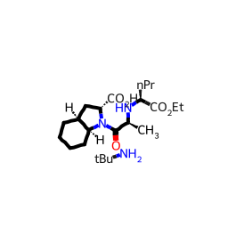 CC(C)(C)N.CCC[C@H](N[C@@H](C)C(=O)N1[C@@H](C(=O)O)C[C@@H]2CCCC[C@@H]21)C(=O)OCC